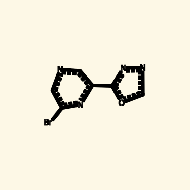 Brc1cncc(-c2nnco2)n1